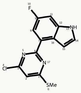 CSc1cc(Cl)nc(-c2cc(F)cc3[nH]ccc23)n1